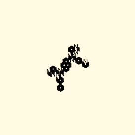 c1ccc(-c2ccc(-c3nc(-c4ccc5ccc6c(-c7nc(-c8ccc(-c9ccccn9)cc8)nc(-c8cccc9nccnc89)n7)ccc7ccc4c5c76)nc(-c4cccc5nccnc45)n3)nc2)cc1